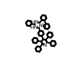 c1ccc(-c2ccccc2C2NC(c3ccccc3)NC(c3ccc(-c4c(-c5ccccc5)c(-c5ccccc5)nc(-c5ccccc5)c4-c4ccccc4)cc3)N2)cc1